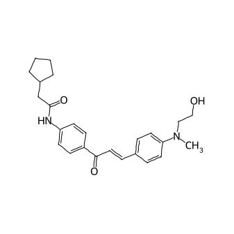 CN(CCO)c1ccc(/C=C/C(=O)c2ccc(NC(=O)CC3CCCC3)cc2)cc1